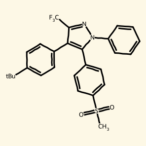 CC(C)(C)c1ccc(-c2c(C(F)(F)F)nn(-c3ccccc3)c2-c2ccc(S(C)(=O)=O)cc2)cc1